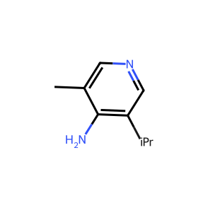 Cc1cncc(C(C)C)c1N